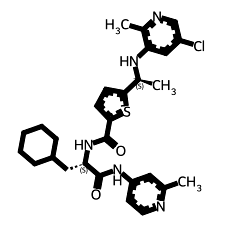 Cc1cc(NC(=O)[C@H](CC2CCCCC2)NC(=O)c2ccc([C@H](C)Nc3cc(Cl)cnc3C)s2)ccn1